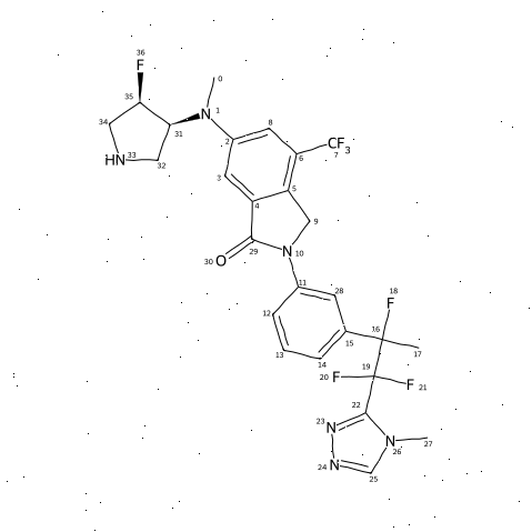 CN(c1cc2c(c(C(F)(F)F)c1)CN(c1cccc(C(C)(F)C(F)(F)c3nncn3C)c1)C2=O)[C@H]1CNC[C@H]1F